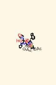 CCCC[C@H](NC(=O)[C@H](Cc1cccc2ccccc12)C[S+]([O-])CC(COC(C)=O)OC(C)=O)C(=O)N[C@@H](CC1CCCCC1)[C@@H](O)[C@@H](O)CN1CCOCC1